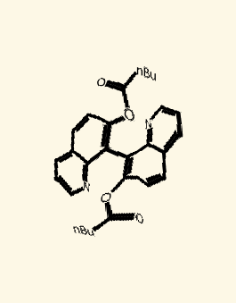 CCCCC(=O)Oc1ccc2cccnc2c1-c1c(OC(=O)CCCC)ccc2cccnc12